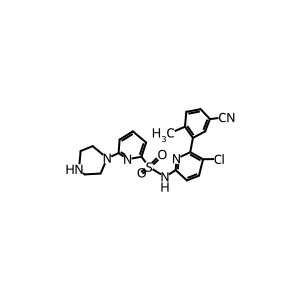 Cc1ccc(C#N)cc1-c1nc(NS(=O)(=O)c2cccc(N3CCNCC3)n2)ccc1Cl